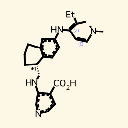 CC/C(C)=C(/C=C\N(C)C)Nc1ccc2c(c1)CCC[C@H]2CNc1cnccc1C(=O)O